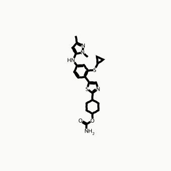 Cc1cc(Nc2ccc(-c3cnc(C4CCC(OC(N)=O)CC4)s3)c(SC3CC3)c2)n(C)n1